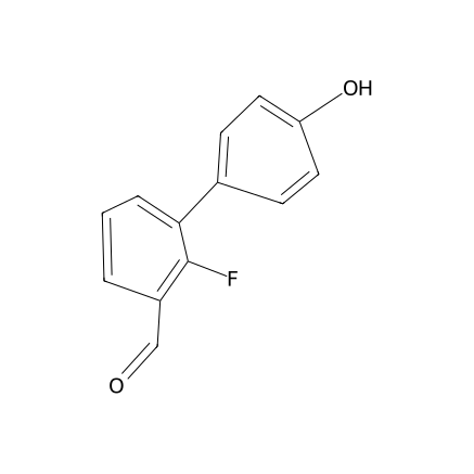 O=Cc1cccc(-c2ccc(O)cc2)c1F